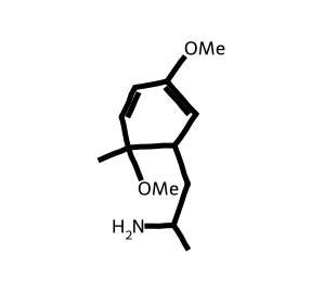 COC1=CC(CC(C)N)C(C)(OC)C=C1